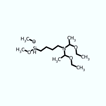 CCOC(C)N(CCCC[SiH](OC)OC)C(C)OCC